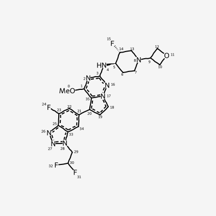 COc1nc(N[C@@H]2CCN(C3COC3)C[C@H]2F)nn2ccc(-c3cc(F)c4nnn(CC(F)F)c4c3)c12